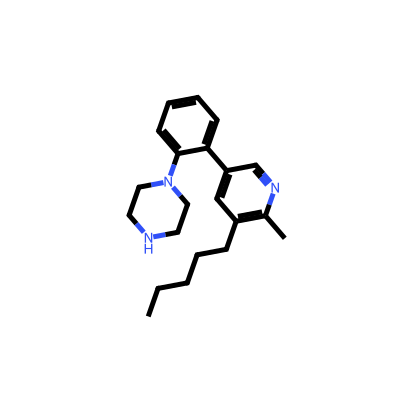 CCCCCc1cc(-c2ccccc2N2CCNCC2)cnc1C